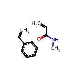 C=CC(=O)NC.C=Cc1ccccc1